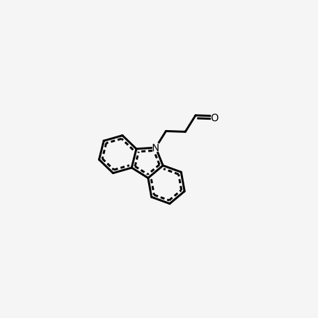 O=CCCn1c2ccccc2c2ccccc21